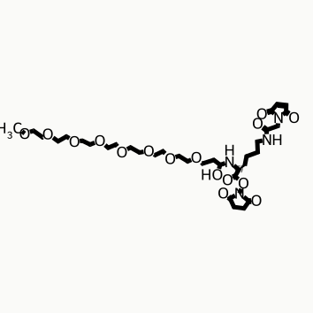 COCCOCCOCCOCCOCCOCCOCCOCCC(O)N[C@@H](CCCCNC(=O)CN1C(=O)C=CC1=O)C(=O)ON1C(=O)CCC1=O